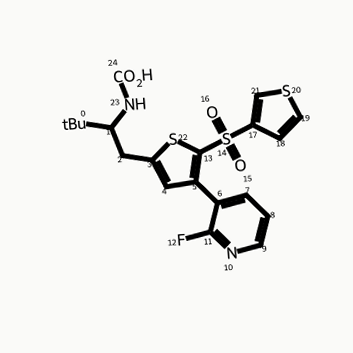 CC(C)(C)C(Cc1cc(-c2cccnc2F)c(S(=O)(=O)c2ccsc2)s1)NC(=O)O